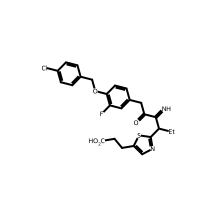 CCC(C(=N)C(=O)Cc1ccc(OCc2ccc(Cl)cc2)c(F)c1)c1ncc(CCC(=O)O)s1